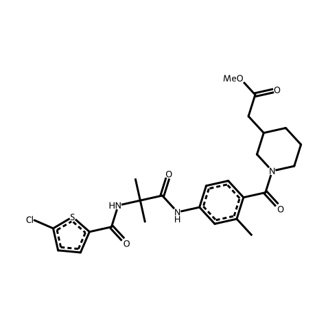 COC(=O)CC1CCCN(C(=O)c2ccc(NC(=O)C(C)(C)NC(=O)c3ccc(Cl)s3)cc2C)C1